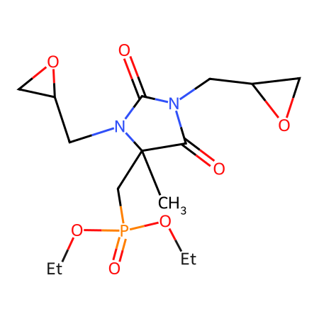 CCOP(=O)(CC1(C)C(=O)N(CC2CO2)C(=O)N1CC1CO1)OCC